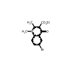 CCOC(=O)c1c(C)n(C)c2ccc(Br)cc2c1=O